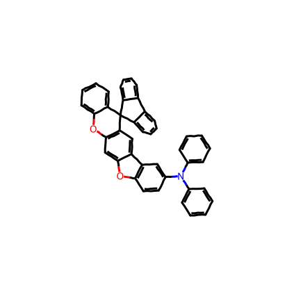 c1ccc(N(c2ccccc2)c2ccc3oc4cc5c(cc4c3c2)C2(c3ccccc3O5)c3ccccc3-c3ccccc32)cc1